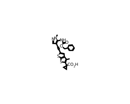 Cc1c(C2(C(=O)O)CC2)sc2sc(C#Cc3cnn(C)c3NC(=O)OCc3ccccc3)cc12